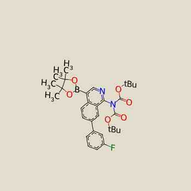 CC(C)(C)OC(=O)N(C(=O)OC(C)(C)C)c1ncc(B2OC(C)(C)C(C)(C)O2)c2ccc(-c3cccc(F)c3)cc12